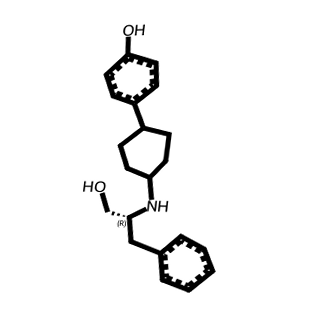 OC[C@@H](Cc1ccccc1)NC1CCC(c2ccc(O)cc2)CC1